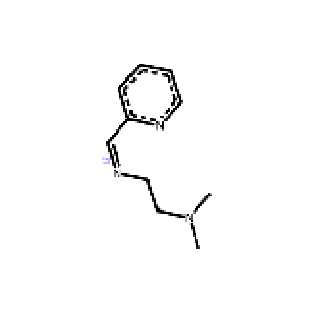 CN(C)CC/N=C\c1ccccn1